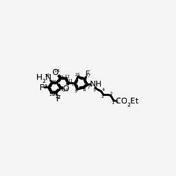 CCOC(=O)CCCCCNc1ccc(-c2cc(=O)c3c(N)c(F)cc(F)c3o2)cc1F